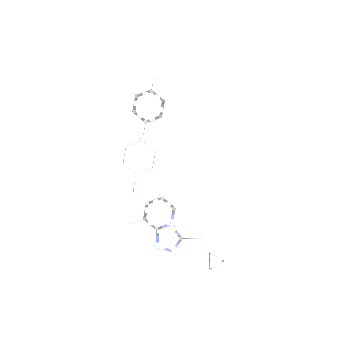 Fc1ccc(N2CCN(Cc3ccn4c(CC5CC5)nnc4c3C(F)(F)F)CC2)cc1F